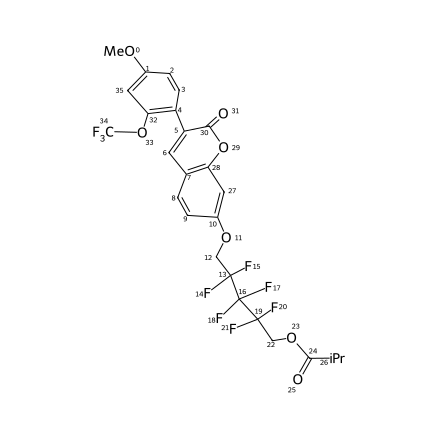 COc1ccc(-c2cc3ccc(OCC(F)(F)C(F)(F)C(F)(F)COC(=O)C(C)C)cc3oc2=O)c(OC(F)(F)F)c1